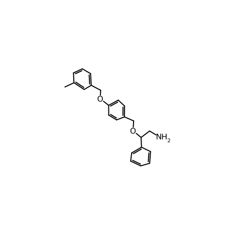 Cc1cccc(COc2ccc(COC(CN)c3ccccc3)cc2)c1